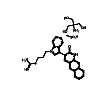 CS(=O)(=O)O.N=C(N)SCCCn1cc(-c2nc3cc4ccccc4cc3[nH]c2=O)c2ccccc21.NC(CO)(CO)CO